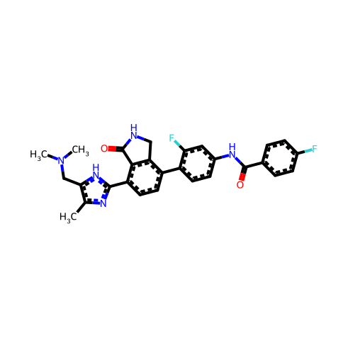 Cc1nc(-c2ccc(-c3ccc(NC(=O)c4ccc(F)cc4)cc3F)c3c2C(=O)NC3)[nH]c1CN(C)C